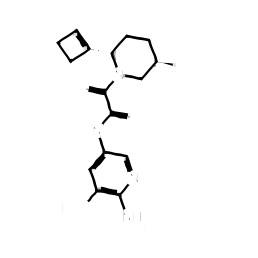 Cc1cc(NC(=O)C(=O)N2C[C@H](C)CC[C@H]2C2=CCC2)cnc1N